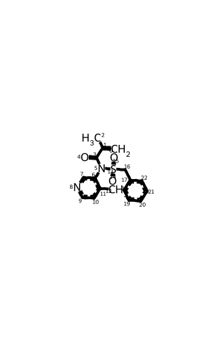 C=C(C)C(=O)N(c1cnccc1C)S(=O)(=O)Cc1ccccc1